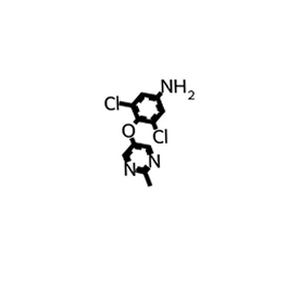 Cc1ncc(Oc2c(Cl)cc(N)cc2Cl)cn1